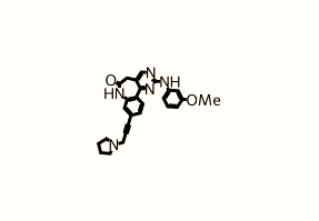 COc1cccc(Nc2ncc3c(n2)-c2ccc(C#CCN4CCCC4)cc2NC(=O)C3)c1